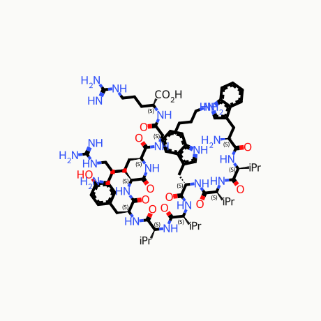 CC(C)[C@H](NC(=O)[C@H](Cc1c[nH]c2ccccc12)NC(=O)[C@@H](NC(=O)[C@@H](NC(=O)[C@@H](N)Cc1c[nH]c2ccccc12)C(C)C)C(C)C)C(=O)N[C@H](C(=O)N[C@@H](Cc1ccc(O)cc1)C(=O)N[C@@H](CCCNC(=N)N)C(=O)N[C@@H](CCCCN)C(=O)N[C@@H](CCCCN)C(=O)N[C@@H](CCCNC(=N)N)C(=O)O)C(C)C